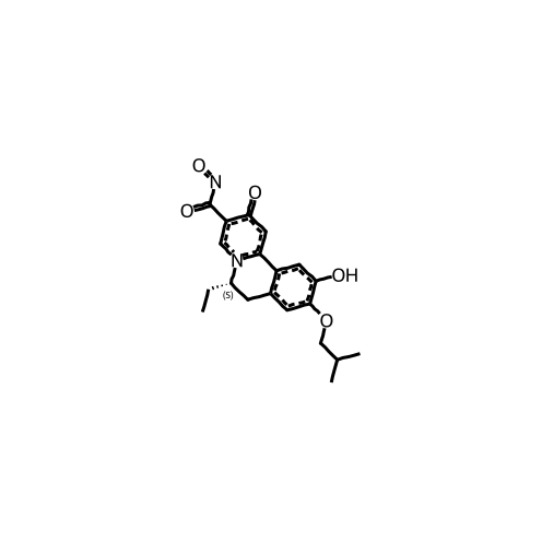 CC[C@H]1Cc2cc(OCC(C)C)c(O)cc2-c2cc(=O)c(C(=O)N=O)cn21